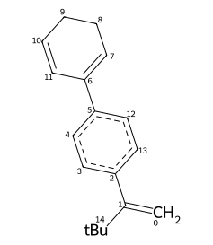 C=C(c1ccc(C2=CCCC=C2)cc1)C(C)(C)C